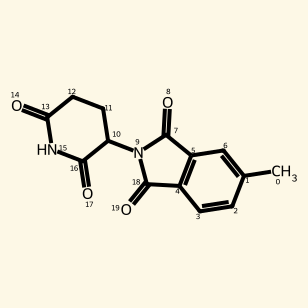 Cc1ccc2c(c1)C(=O)N(C1CCC(=O)NC1=O)C2=O